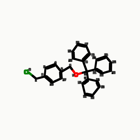 ClCc1ccc(COC(c2ccccc2)(c2ccccc2)c2ccccc2)cc1